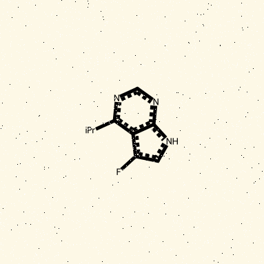 CC(C)c1ncnc2[nH]cc(F)c12